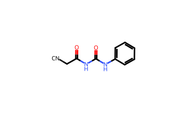 [C-]#[N+]CC(=O)NC(=O)Nc1ccccc1